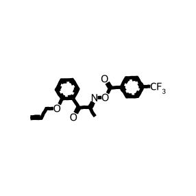 C=CCOc1ccccc1C(=O)C(C)=NOC(=O)c1ccc(C(F)(F)F)cc1